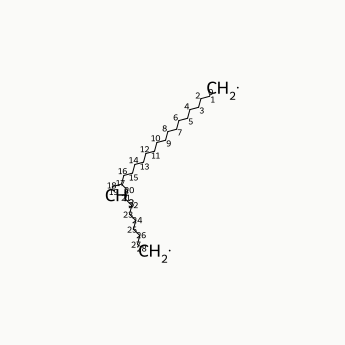 [CH2]CCCCCCCCCCCCCCCCC(CC)CCCCCCCC[CH2]